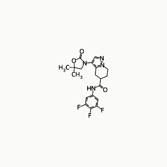 CC1(C)CN(c2cnn3c2CC(C(=O)Nc2cc(F)c(F)c(F)c2)CC3)C(=O)O1